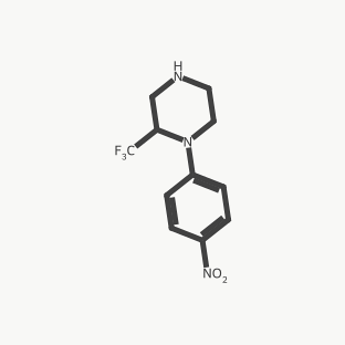 O=[N+]([O-])c1ccc(N2CCNCC2C(F)(F)F)cc1